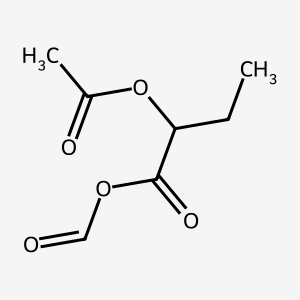 CCC(OC(C)=O)C(=O)OC=O